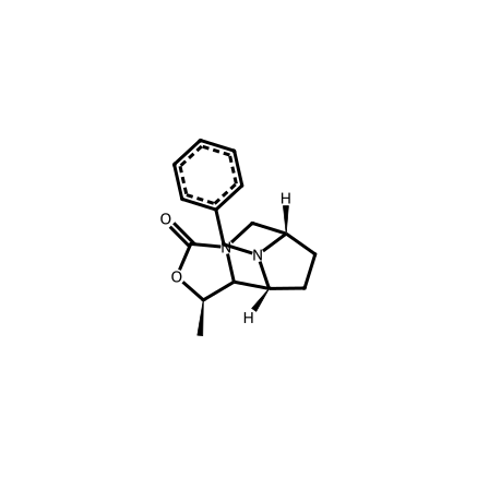 C[C@H]1OC(=O)N2C[C@@H]3CC[C@H](C12)N3Cc1ccccc1